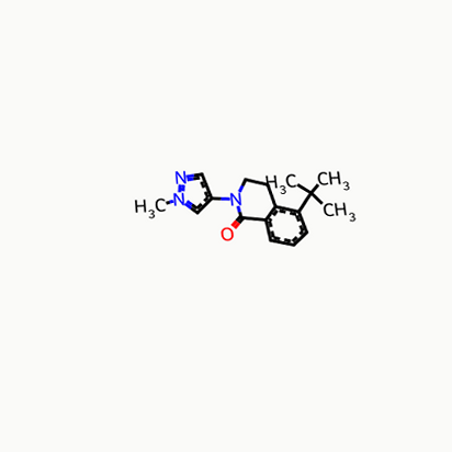 Cn1cc(N2CCc3c(cccc3C(C)(C)C)C2=O)cn1